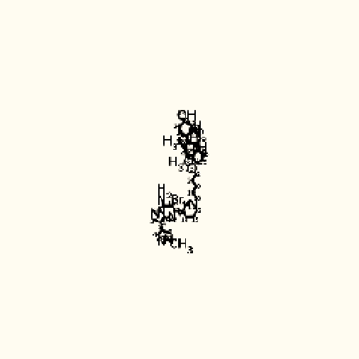 Cn1cc(-c2cnn3c(N)c(Br)c([C@@H]4CCCN(CCCCCO[C@H]5CC[C@H]6[C@@H]7CC[C@H]8CC(O)CC[C@]8(C)[C@H]7CC[C@]56C)C4)nc23)cn1